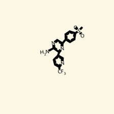 CS(=O)(=O)c1ccc(-c2cnc(N)c(-c3ccc(C(F)(F)F)nc3)n2)cc1